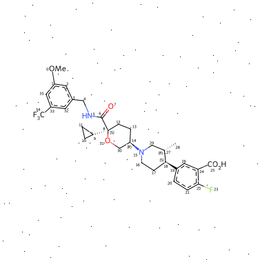 COc1cc(CNC(=O)[C@@]2(C3CC3)CC[C@@H](N3CC[C@H](c4ccc(F)c(C(=O)O)c4)[C@@H](C)C3)CO2)cc(C(F)(F)F)c1